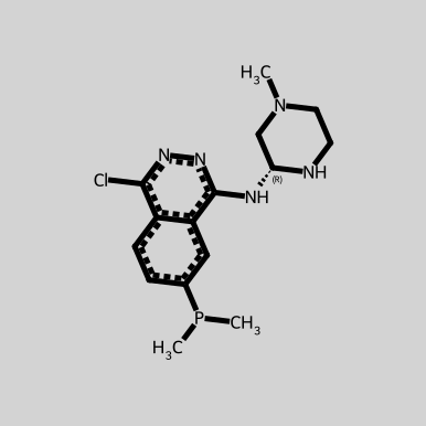 CN1CCN[C@H](Nc2nnc(Cl)c3ccc(P(C)C)cc23)C1